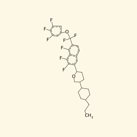 CCCC1CCC(C2CCC(c3cc4ccc(C(F)(F)Oc5cc(F)c(F)c(F)c5)c(F)c4c(F)c3F)OC2)CC1